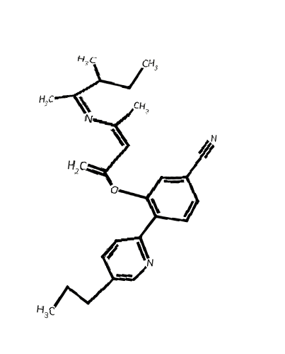 C=C(/C=C(C)\N=C(\C)C(C)CC)Oc1cc(C#N)ccc1-c1ccc(CCC)cn1